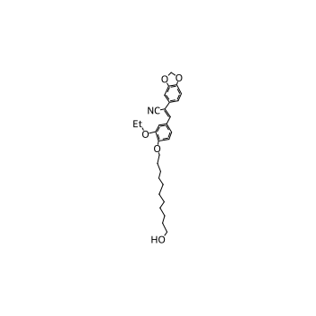 CCOc1cc(C=C(C#N)c2ccc3c(c2)OCO3)ccc1OCCCCCCCCCCCO